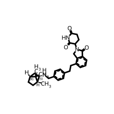 CC1(C)[C@@H]2CC[C@@]1(C)[C@@H](NCc1ccc(CCc3cccc4c3CN(C3CCC(=O)NC3=O)C4=O)cc1)C2